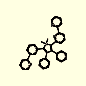 C[Si]1(C)C(c2cccc(-c3ccccn3)c2)=C(c2ccccc2)C(c2ccccc2)=C1c1cccc(-c2ccccn2)n1